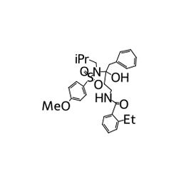 CCc1ccccc1C(=O)NCCC(O)(Cc1ccccc1)N(CC(C)C)S(=O)(=O)c1ccc(OC)cc1